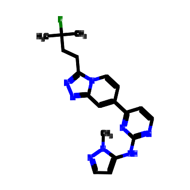 Cn1nccc1Nc1nccc(-c2ccn3c(CCC(C)(C)F)nnc3c2)n1